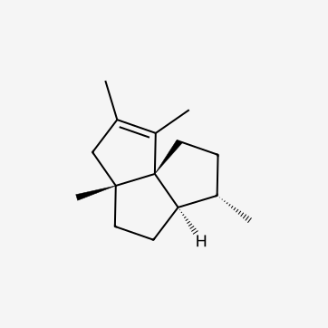 CC1=C(C)[C@]23CC[C@H](C)[C@H]2CC[C@]3(C)C1